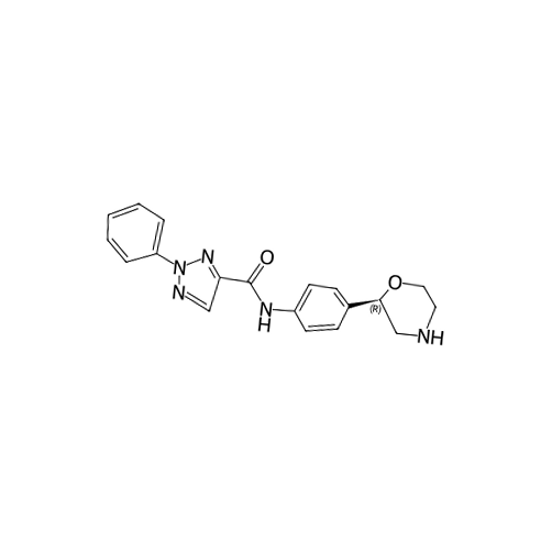 O=C(Nc1ccc([C@@H]2CNCCO2)cc1)c1cnn(-c2ccccc2)n1